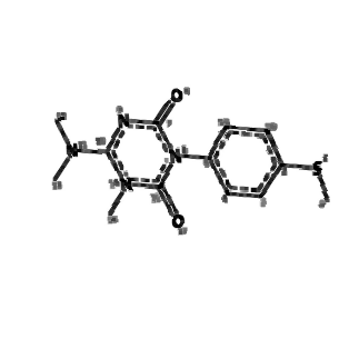 CSc1ccc(-n2c(=O)nc(N(C)C)n(C)c2=O)cc1